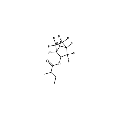 CCC(C)C(=O)OC1C(F)(F)C2(F)C(F)(F)C(F)(F)C1(F)C2(F)F